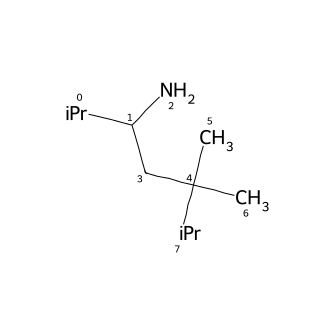 CC(C)C(N)CC(C)(C)C(C)C